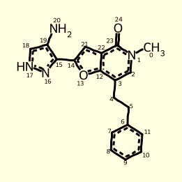 Cn1cc(CCc2ccccc2)c2oc(-c3n[nH]cc3N)cc2c1=O